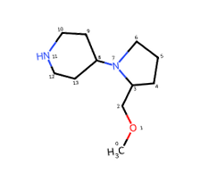 COCC1CCCN1C1CCNCC1